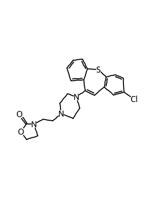 O=C1OCCN1CCN1CCN(C2=Cc3cc(Cl)ccc3Sc3ccccc32)CC1